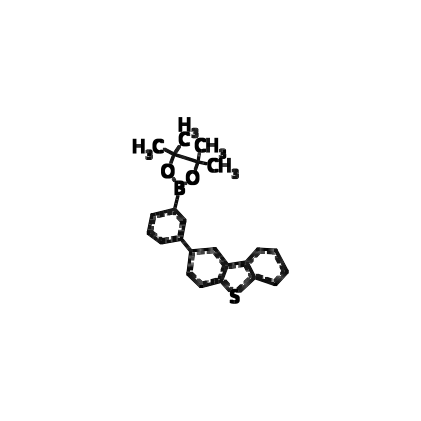 CC1(C)OB(c2cccc(-c3ccc4sc5ccccc5c4c3)c2)OC1(C)C